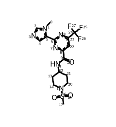 Cn1cncc1-c1nc(C(=O)NC2CCN(S(C)(=O)=O)CC2)cc(C(F)(F)F)n1